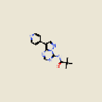 CC(C)(C)C(=O)Nc1ncnc2c(-c3ccncc3)cnn12